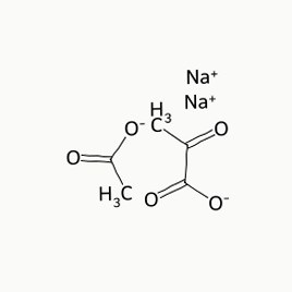 CC(=O)C(=O)[O-].CC(=O)[O-].[Na+].[Na+]